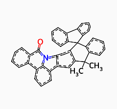 CC1(C)c2ccccc2C2(c3ccccc3-c3ccccc32)c2cc3c(cc21)c1cccc2c4ccccc4c(=O)n3c21